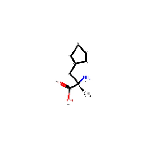 C[C@](N)(CC1CCCC1)C(=O)O